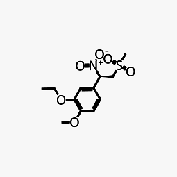 CCOc1cc([C@H](CS(C)(=O)=O)[N+](=O)[O-])ccc1OC